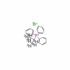 [2H]C([2H])([2H])C([2H])(C([2H])([2H])[2H])[P+](c1ccccc1)(c1ccccc1)c1ccccc1.[Br-]